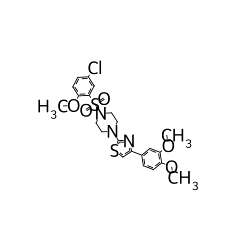 COc1ccc(-c2csc(N3CCN(S(=O)(=O)c4cc(Cl)ccc4OC)CC3)n2)cc1OC